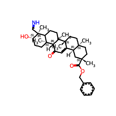 C[C@]1(C(=O)OCc2ccccc2)CC[C@]2(C)CC[C@]3(C)C(=CC(=O)[C@@H]4[C@@]5(C)CC[C@H](O)[C@@](C)(C=N)C5CC[C@]43C)[C@@H]2C1